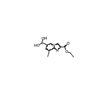 CCOC(=O)c1cn2cc(B(O)O)cc(F)c2n1